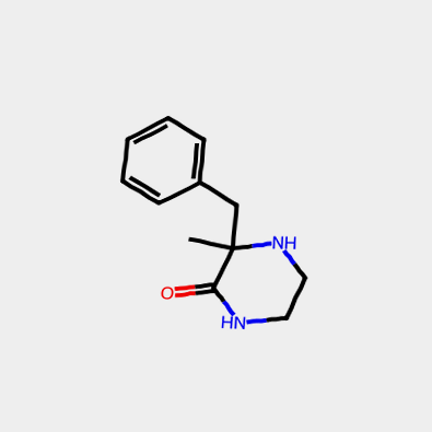 CC1(Cc2ccccc2)NCCNC1=O